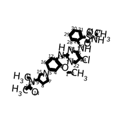 CCOc1cc(N2CCC(N(C)C(C)=O)C2)ccc1Nc1ncc(Cl)c(Nc2ccccc2S(=O)(=O)NC)n1